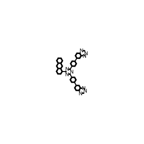 c1ccc2cc3c(-c4nc(-c5ccc(-c6ccc7ncnnc7c6)cc5)nc(-c5ccc(-c6ccc7ncnnc7c6)cc5)n4)cccc3cc2c1